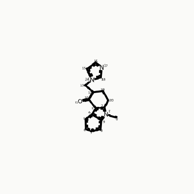 Cn1c2c(c3ccccc31)C(=O)C(Cn1ccnc1)CC2